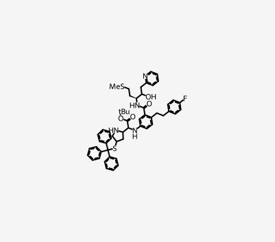 CSCC[C@H](NC(=O)c1cc(NC(C(=O)OC(C)(C)C)C2CC(SC(c3ccccc3)(c3ccccc3)c3ccccc3)CN2)ccc1CCc1ccc(F)cc1)C(O)Cc1ccccn1